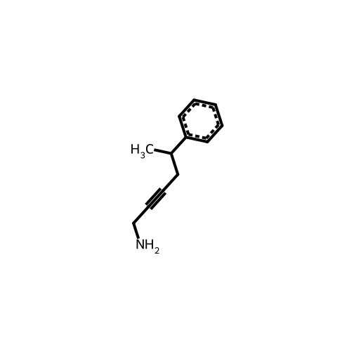 CC(CC#CCN)c1ccccc1